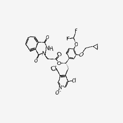 O=C(Cn1[nH]c(=O)c2ccccc2c1=O)O[C@@H](Cc1c(Cl)c[n+]([O-])cc1Cl)c1ccc(OC(F)F)c(OCC2CC2)c1